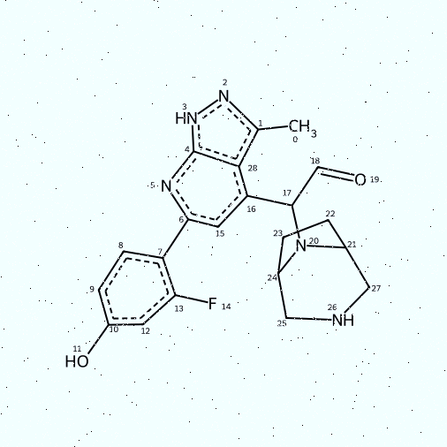 Cc1n[nH]c2nc(-c3ccc(O)cc3F)cc(C(C=O)N3C4CCC3CNC4)c12